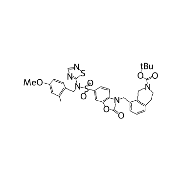 COc1ccc(CN(c2ncns2)S(=O)(=O)c2ccc3c(c2)oc(=O)n3Cc2cccc3c2CN(C(=O)OC(C)(C)C)CC3)c(C)c1